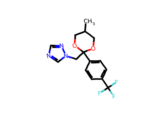 CC1COC(Cn2cncn2)(c2ccc(C(F)(F)F)cc2)OC1